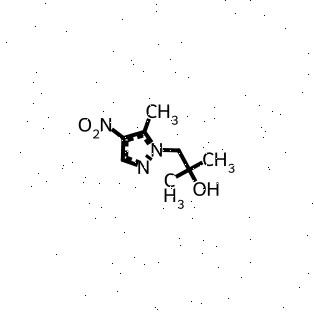 Cc1c([N+](=O)[O-])cnn1CC(C)(C)O